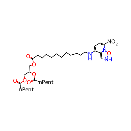 CCCCCC(=O)OCC(COC(=O)CCCCCCCCCCCNC1=CC=C([N+](=O)[O-])N2ONC=C12)OC(=O)CCCCC